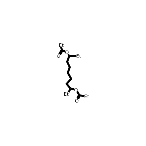 CCC(=O)OC(CC)CCCCCC(CC)OC(=O)CC